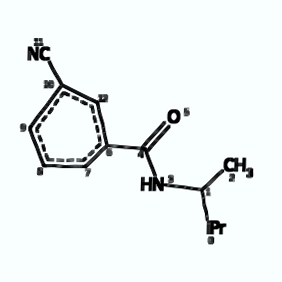 CC(C)C(C)NC(=O)c1cccc(C#N)c1